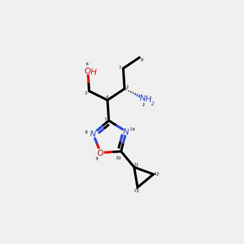 CC[C@H](N)C(CO)c1noc(C2CC2)n1